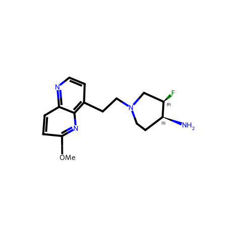 COc1ccc2nccc(CCN3CC[C@H](N)[C@H](F)C3)c2n1